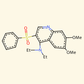 CCN(CC)c1c(S(=O)(=O)c2ccccc2)cnc2cc(OC)c(OC)cc12